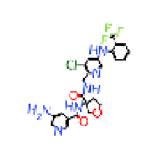 Nc1cncc(C(=O)N[C@@]2(C(=O)NCc3ncc(Nc4ccccc4C(F)(F)F)cc3Cl)CCOC2)c1